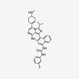 CNC1CC=C(c2cnc(N)c3c(-c4ccc(NC(=O)Nc5cccc(F)c5)c5ccccc45)nc(C(C)C)n23)CC1